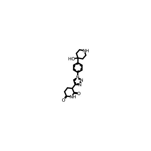 O=C1CCC(c2cn(-c3ccc(C4(O)CCNCC4)cc3)nn2)C(=O)N1